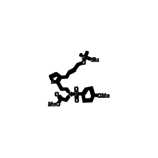 COC(=O)CN(CCc1sccc1CC=CCO[Si](C)(C)C(C)(C)C)S(=O)(=O)c1ccc(OC)cc1